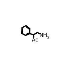 CC(=O)C(CN)c1ccccc1